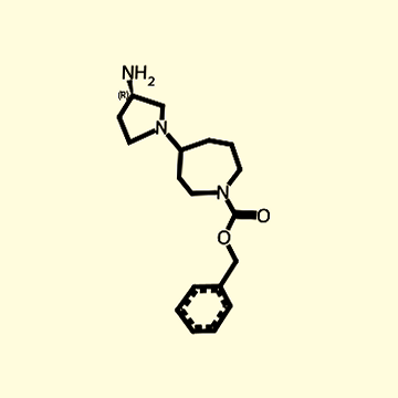 N[C@@H]1CCN(C2CCCN(C(=O)OCc3ccccc3)CC2)C1